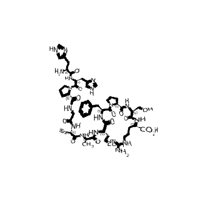 CC[C@H](C)[C@H](NC(=O)CNC(=O)[C@@H]1CCCN1C(=O)[C@H](Cc1c[nH]cn1)NC(=O)[C@@H](N)Cc1c[nH]cn1)C(=O)N[C@@H](C)C(=O)N[C@@H](CCC(=O)O)C(=O)N[C@@H](Cc1ccccc1)C(=O)N1CCC[C@H]1C(=O)N[C@@H](CO)C(=O)N[C@@H](CCCNC(=N)N)C(=O)O